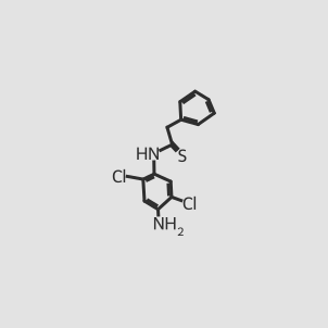 Nc1cc(Cl)c(NC(=S)Cc2ccccc2)cc1Cl